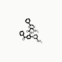 Nc1ncc(-c2ccccc2)nc1C(=O)Nc1cc(C(=O)c2ccccc2)ccc1N1CCCC(N)C1